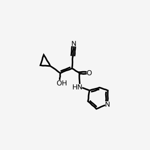 N#CC(C(=O)Nc1ccncc1)=C(O)C1CC1